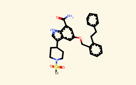 CCS(=O)(=O)N1CCC(c2c[nH]c3c(C(N)=O)cc(OCc4ccccc4CCc4ccccc4)cc23)CC1